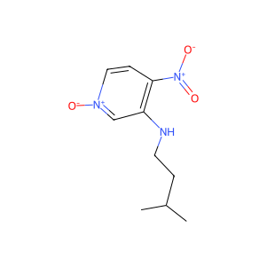 CC(C)CCNc1c[n+]([O-])ccc1[N+](=O)[O-]